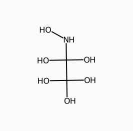 ONC(O)(O)C(O)(O)O